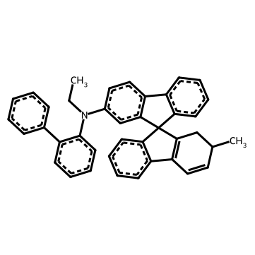 CCN(c1ccc2c(c1)C1(C3=C(C=CC(C)C3)c3ccccc31)c1ccccc1-2)c1ccccc1-c1ccccc1